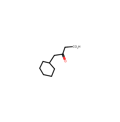 O=C(O)CC(=O)CC1CCCCC1